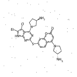 CCc1[nH]c2nc(Sc3ccc4c(N5CC[C@H](N)C5)cc(=O)oc4c3)nc(N3CC[C@@H](N)C3)c2c1Cl